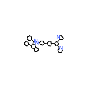 c1ccc(-c2cc3ccccc3c3c2c(-c2ccccc2)nn3-c2ccc(-c3ccc(-c4cc(-c5ccccn5)cc(-c5ccccn5)c4)cc3)cc2)cc1